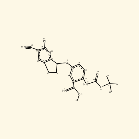 COC(=N)c1cc(OC2CCc3cc(C#N)c(Cl)nc32)ccc1NC(=O)OC(C)(C)C